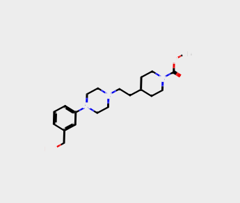 CC(C)(C)OC(=O)N1CCC(CCN2CCN(c3cccc(CO)c3)CC2)CC1